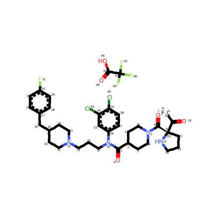 O=C(C1CCN(C(=O)[C@@]2(C(=O)C(F)(F)F)CCCN2)CC1)N(CCCN1CCC(Cc2ccc(F)cc2)CC1)c1ccc(Cl)c(Cl)c1.O=C(O)C(F)(F)F